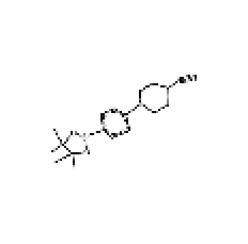 CC1(C)OB(c2ccc(N3CCC(C#N)CC3)cc2)OC1(C)C